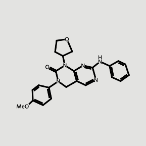 COc1ccc(N2Cc3cnc(Nc4ccccc4)nc3N(C3CCOC3)C2=O)cc1